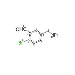 CC(C)Cc1ccc(Br)c(C=O)c1